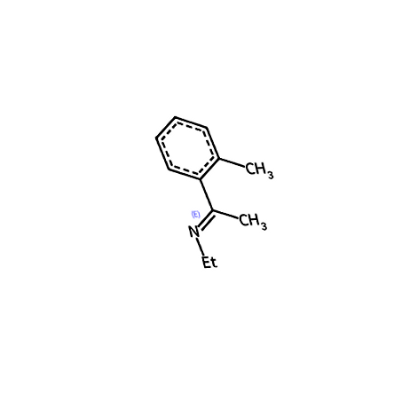 CC/N=C(\C)c1ccccc1C